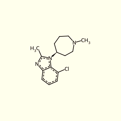 Cc1nc2cccc(Cl)c2n1[C@H]1CCCN(C)CC1